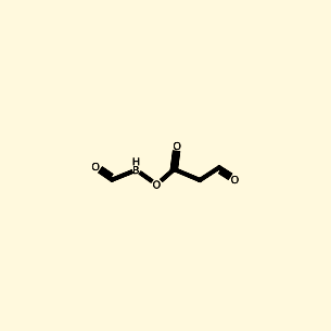 O=CBOC(=O)CC=O